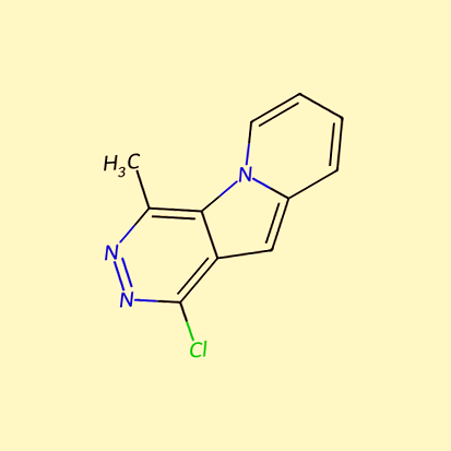 Cc1nnc(Cl)c2cc3ccccn3c12